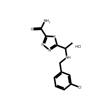 CC(NCc1cccc(Cl)c1)c1nnc(C(N)=O)s1.Cl